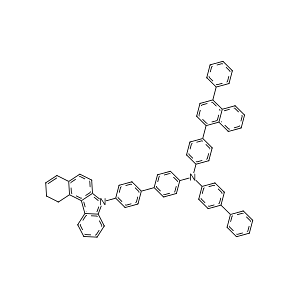 C1=Cc2ccc3c(c2CC1)c1ccccc1n3-c1ccc(-c2ccc(N(c3ccc(-c4ccccc4)cc3)c3ccc(-c4ccc(-c5ccccc5)c5ccccc45)cc3)cc2)cc1